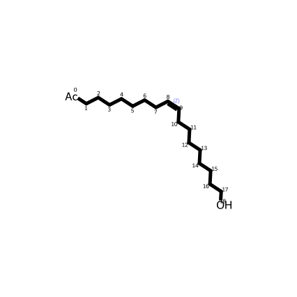 CC(=O)CCCCCCC/C=C\CCCCCCCCO